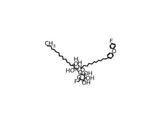 CCCCCCCCCCCCCC[C@@H](O)[C@@H](O)[C@H](CO[C@H]1OC(CF)[C@@H](O)[C@H](O)C1O)NC(=O)CCCCCCCCCCc1ccc(Oc2ccc(F)cc2)cc1